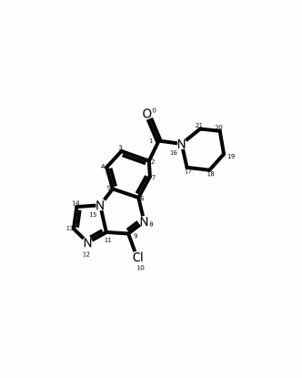 O=C(c1ccc2c(c1)nc(Cl)c1nccn12)N1CCCCC1